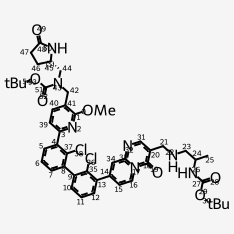 COc1nc(-c2cccc(-c3cccc(-c4ccn5c(=O)c(CNCC(C)NC(=O)OC(C)(C)C)cnc5c4)c3Cl)c2Cl)ccc1CN(C[C@@H]1CCC(=O)N1)C(=O)OC(C)(C)C